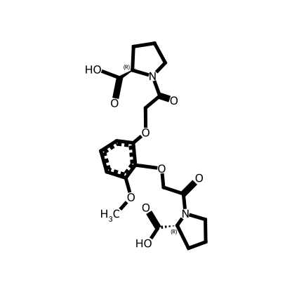 COc1cccc(OCC(=O)N2CCC[C@@H]2C(=O)O)c1OCC(=O)N1CCC[C@@H]1C(=O)O